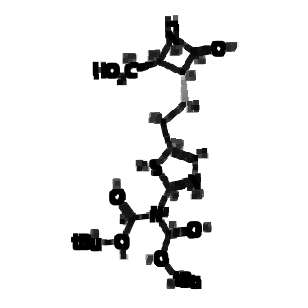 CC(C)(C)OC(=O)N(C(=O)OC(C)(C)C)c1ncc(CC[C@H]2C(=O)N[C@@H]2C(=O)O)s1